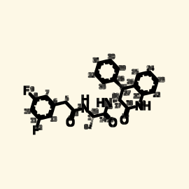 C[C@H](NC(=O)Cc1cc(F)cc(F)c1)C(=O)N[C@H]1C(=O)Nc2ccccc2[C@@H]1c1ccccc1